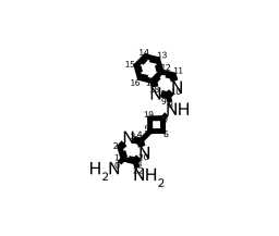 Nc1cnc(C2CC(Nc3ncc4ccccc4n3)C2)nc1N